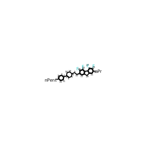 CCCCCc1ccc(C2=CCC(CCc3cc4c(c(F)c3F)-c3c(cc(CCC)c(F)c3F)C4)CC2)cc1